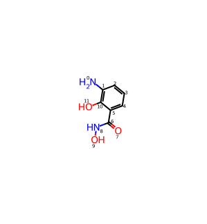 Nc1cccc(C(=O)NO)c1O